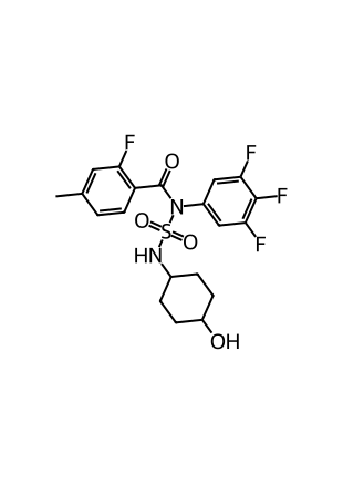 Cc1ccc(C(=O)N(c2cc(F)c(F)c(F)c2)S(=O)(=O)NC2CCC(O)CC2)c(F)c1